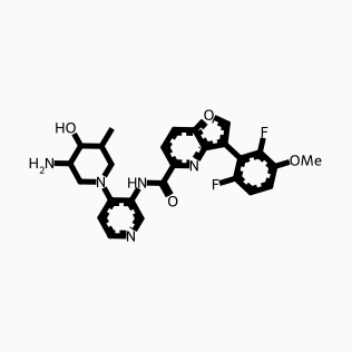 COc1ccc(F)c(-c2coc3ccc(C(=O)Nc4cnccc4N4CC(C)C(O)C(N)C4)nc23)c1F